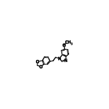 COc1ccc2ncn(CCc3ccc4c(c3)OCO4)c2c1